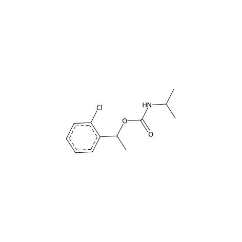 C[C](OC(=O)NC(C)C)c1ccccc1Cl